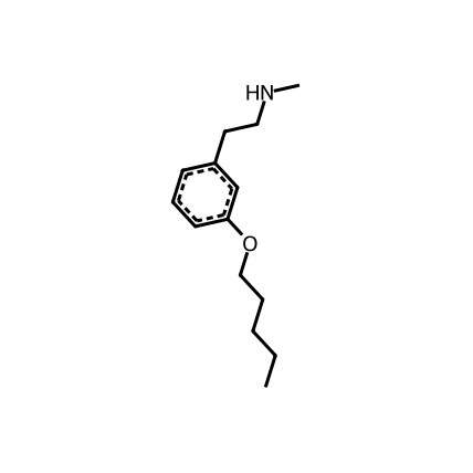 CCCCCOc1cccc(CCNC)c1